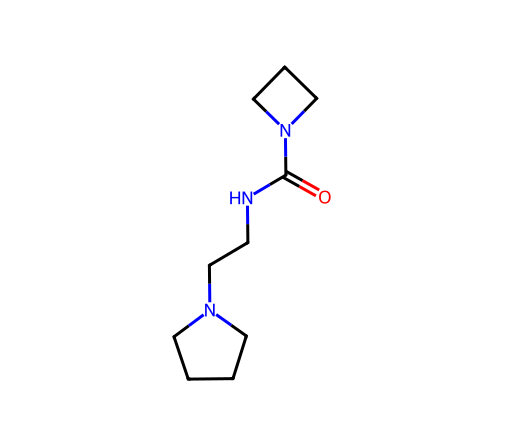 O=C(NCCN1CCCC1)N1CCC1